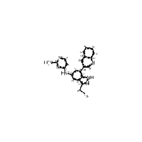 Nc1nccc(Nc2cc(-c3cnc4ccccc4c3)c3[nH]nc(CI)c3c2)n1